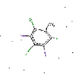 Cc1c(F)c(I)c(F)c(I)c1F